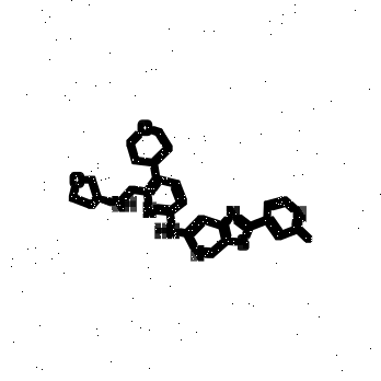 Cc1cc(-c2nc3cc(Nc4ccc(C5CCOCC5)c(CN[C@H]5CCOC5)n4)ncc3s2)ccn1